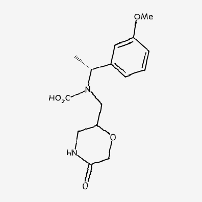 COc1cccc([C@@H](C)N(CC2CNC(=O)CO2)C(=O)O)c1